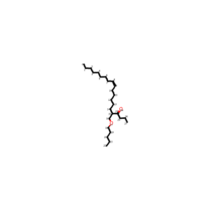 CCCCCCCC/C=C\CCCCCC(COCCCCC)C(=O)CCC